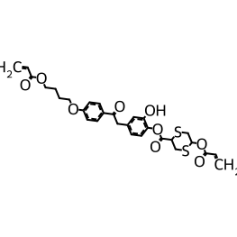 C=CC(=O)OCCCCOc1ccc(C(=O)Cc2ccc(OC(=O)C3CSC(OC(=O)C=C)CS3)c(O)c2)cc1